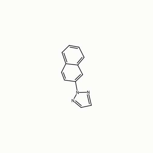 c1ccc2cc(-n3nccn3)ccc2c1